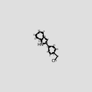 ClCc1ccc(-c2cc3ccccc3[nH]2)cc1